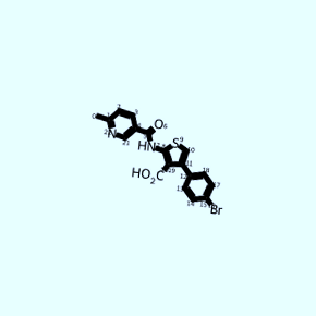 Cc1ccc(C(=O)Nc2scc(-c3ccc(Br)cc3)c2C(=O)O)cn1